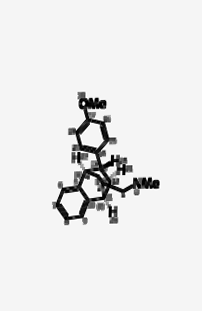 CNC[C@@H]1C[C@H]2c3ccccc3[C@@H]1C[C@H]2c1ccc(OC)cc1